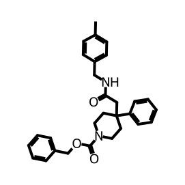 Cc1ccc(CNC(=O)CC2(c3ccccc3)CCN(C(=O)OCc3ccccc3)CC2)cc1